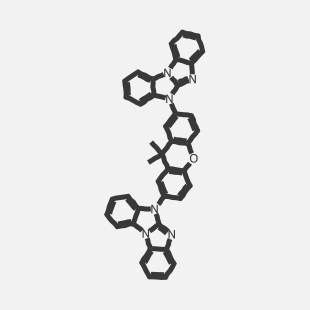 CC1(C)c2cc(-n3c4ccccc4n4c5ccccc5nc34)ccc2Oc2ccc(-n3c4ccccc4n4c5ccccc5nc34)cc21